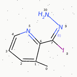 Cc1cccnc1/C(I)=N\N